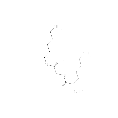 CC(=O)N[C@@H](CCCCN)C(=O)NCC(=O)N[C@@H](CCCCN)C(=O)O